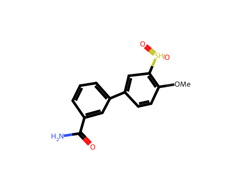 COc1ccc(-c2cccc(C(N)=O)c2)cc1[SH](=O)=O